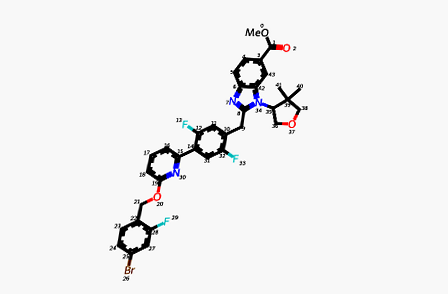 COC(=O)c1ccc2nc(Cc3cc(F)c(-c4cccc(OCc5ccc(Br)cc5F)n4)cc3F)n(C3COCC3(C)C)c2c1